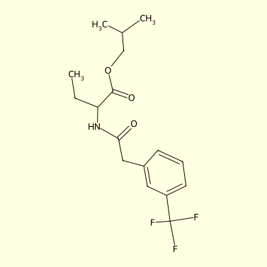 CCC(NC(=O)Cc1cccc(C(F)(F)F)c1)C(=O)OCC(C)C